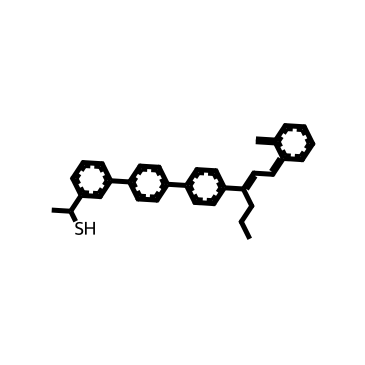 C=c1cccc/c1=C/C=C(\CCC)c1ccc(-c2ccc(-c3cccc(C(C)S)c3)cc2)cc1